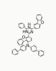 c1ccc(-c2ccc(N(c3ccc(-c4ccccc4)cc3)c3ccc(C4=NC(c5ccc6oc7ccccc7c6c5)NC(c5ccccc5)N4)c4oc5ccccc5c34)cc2)cc1